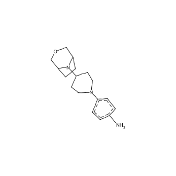 Nc1ccc(N2CCC(N3C4CCC3COC4)CC2)cc1